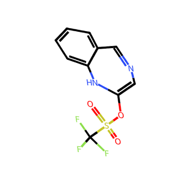 O=S(=O)(OC1=CN=Cc2ccccc2N1)C(F)(F)F